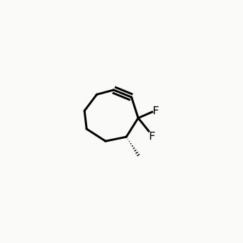 C[C@@H]1CCCCC#CC1(F)F